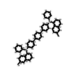 Cc1ccc2c(N(c3ccccc3)c3ccc(-c4ccc(-c5ccc(N(c6ccccc6)c6cccc7cc(C)ccc67)cc5)cc4)cc3)cccc2c1